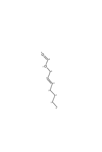 CCCCC=CCOC=O